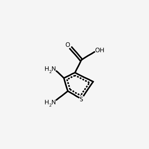 Nc1scc(C(=O)O)c1N